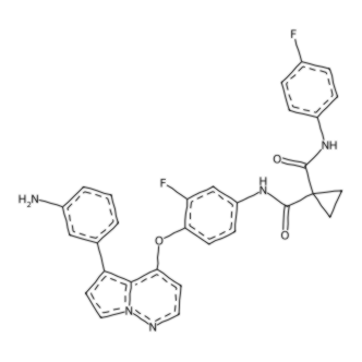 Nc1cccc(-c2ccn3nccc(Oc4ccc(NC(=O)C5(C(=O)Nc6ccc(F)cc6)CC5)cc4F)c23)c1